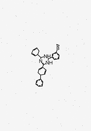 C1=CCC(C2N=C(C3=CCC(c4ccccc4)C=C3)NC(c3cccc(B4CC4)c3)N2)C=C1